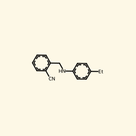 CCc1ccc(NCc2ccccc2C#N)cc1